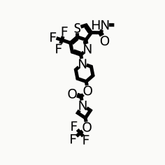 CNC(=O)c1csc2c(C(F)(F)F)cc(N3CCC(OC(=O)N4CC(OC(F)(F)F)C4)CC3)nc12